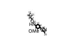 COc1cc(NCOCC[Si](C)(C)C)ccc1-n1cnc(C)c1